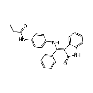 CCC(=O)Nc1ccc(NC(=C2C(=O)Nc3ccccc32)c2ccccc2)cc1